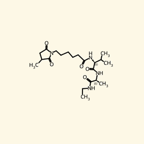 CCNC(=O)[C@H](C)NC(=O)[C@@H](NC(=O)CCCCCN1C(=O)CC(C)C1=O)C(C)C